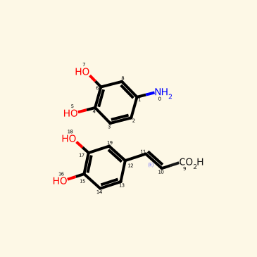 Nc1ccc(O)c(O)c1.O=C(O)/C=C/c1ccc(O)c(O)c1